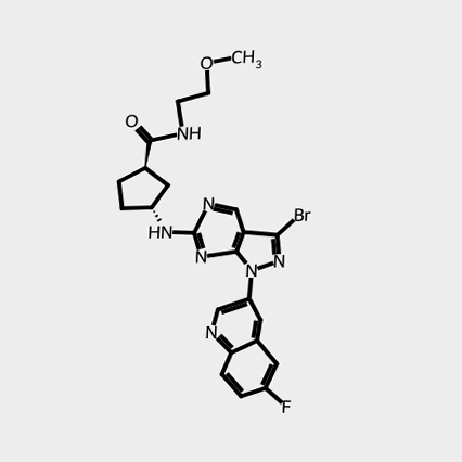 COCCNC(=O)[C@@H]1CC[C@@H](Nc2ncc3c(Br)nn(-c4cnc5ccc(F)cc5c4)c3n2)C1